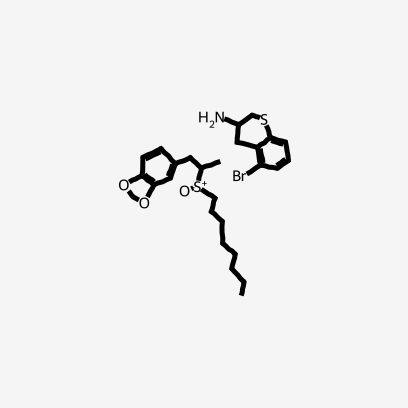 CCCCCCCC[S+]([O-])C(C)Cc1ccc2c(c1)OCO2.NC1CSc2cccc(Br)c2C1